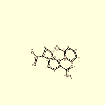 NC(=O)c1cnn2c([N+](=O)[O-])ccc2c1-c1ccccc1N